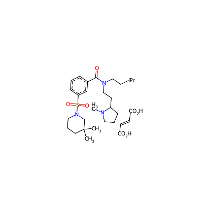 CC(C)CCN(CCC1CCCN1C)C(=O)c1cccc(S(=O)(=O)N2CCCC(C)(C)C2)c1.O=C(O)C=CC(=O)O